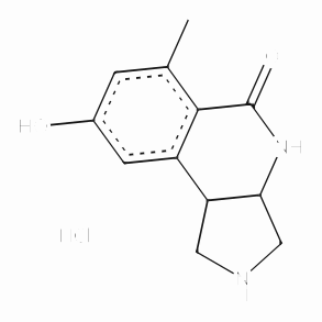 Cc1cc(O)cc2c1C(=O)NC1CNCC21.Cl